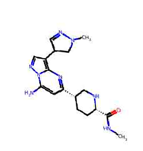 CNC(=O)[C@@H]1CC[C@H](c2cc(N)n3ncc(C4C=NN(C)C4)c3n2)CN1